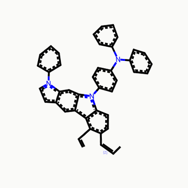 C=Cc1c(/C=C\C)ccc2c1c1cc3ccn(-c4ccccc4)c3cc1n2-c1ccc(N(c2ccccc2)c2ccccc2)cc1